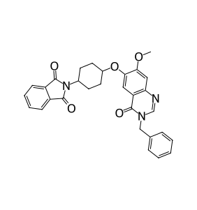 COc1cc2ncn(Cc3ccccc3)c(=O)c2cc1OC1CCC(N2C(=O)c3ccccc3C2=O)CC1